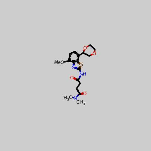 COc1ccc(C2COCCO2)c2sc(NC(=O)CCC(=O)N(C)C)nc12